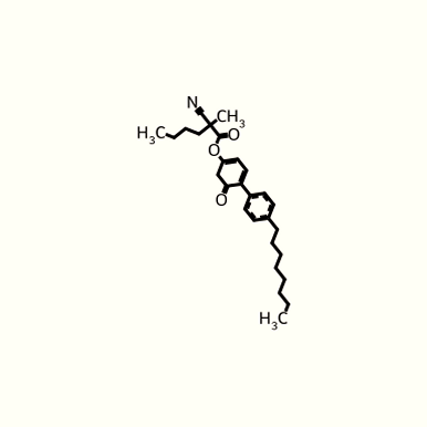 CCCCCCCCc1ccc(C2=CC=C(OC(=O)C(C)(C#N)CCCC)CC2=O)cc1